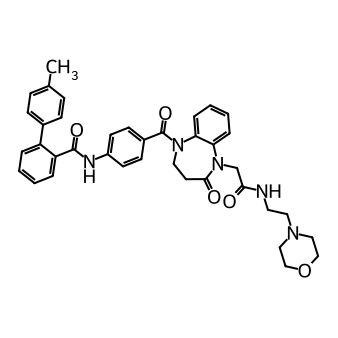 Cc1ccc(-c2ccccc2C(=O)Nc2ccc(C(=O)N3CCC(=O)N(CC(=O)NCCN4CCOCC4)c4ccccc43)cc2)cc1